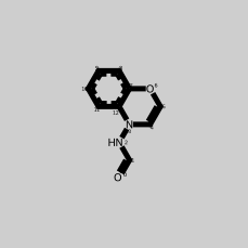 O=CNN1C=COc2ccccc21